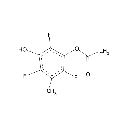 CC(=O)Oc1c(F)c(C)c(F)c(O)c1F